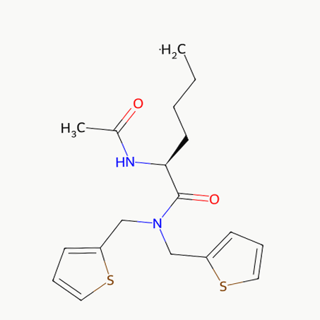 [CH2]CCC[C@H](NC(C)=O)C(=O)N(Cc1cccs1)Cc1cccs1